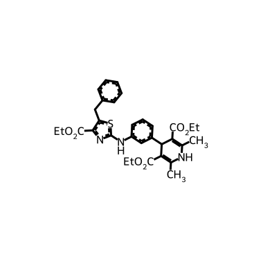 CCOC(=O)C1=C(C)NC(C)=C(C(=O)OCC)C1c1cccc(Nc2nc(C(=O)OCC)c(Cc3ccccc3)s2)c1